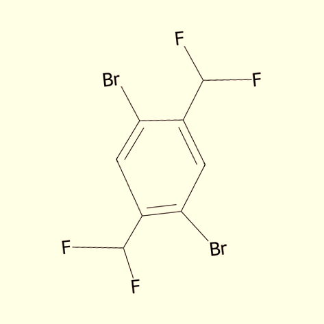 FC(F)c1cc(Br)c(C(F)F)cc1Br